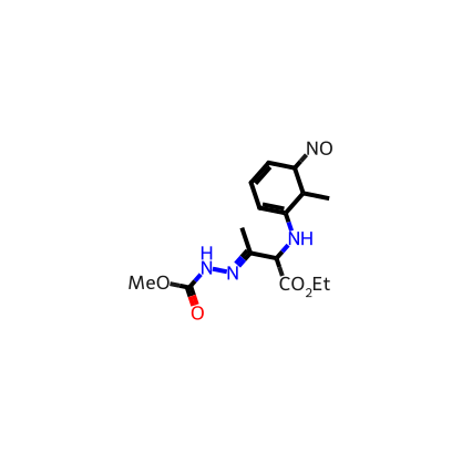 CCOC(=O)C(NC1=CC=CC(N=O)C1C)/C(C)=N/NC(=O)OC